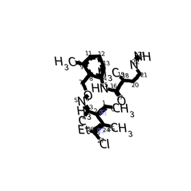 C/C=C(C(C)=NOCc1c(C)cccc1NC(=O)C(C)CCN=N)\C(C)=C(\Cl)CC